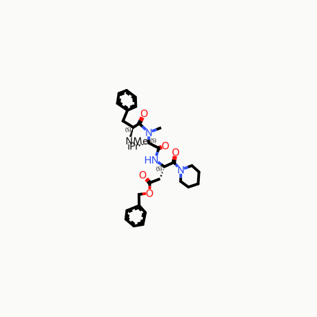 CN[C@@H](Cc1ccccc1)C(=O)N(C)[C@H](C(=O)N[C@@H](CC(=O)OCc1ccccc1)C(=O)N1CCCCC1)C(C)C